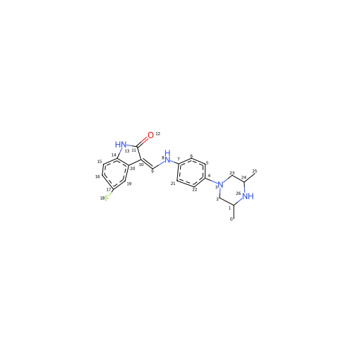 CC1CN(c2ccc(NC=C3C(=O)Nc4ccc(F)cc43)cc2)CC(C)N1